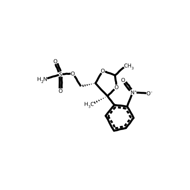 CC1O[C@@H](COS(N)(=O)=O)[C@](C)(c2ccccc2[N+](=O)[O-])O1